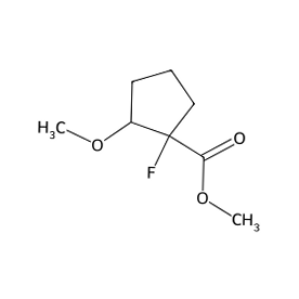 COC(=O)C1(F)CCCC1OC